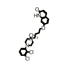 C[N+]1(CCCCOc2ccc3ccc(=O)[nH]c3c2)CCN(c2cccc(Cl)c2Cl)CC1